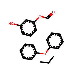 CCC.O=COc1cccc(O)c1.c1ccc(Oc2ccccc2)cc1